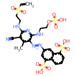 C=CS(=O)(=O)CCNc1nc(NCCOS(=O)(=O)O)c(/N=N/c2cc(S(=O)(=O)O)c3cccc(S(=O)(=O)O)c3c2)c(C)c1C#N